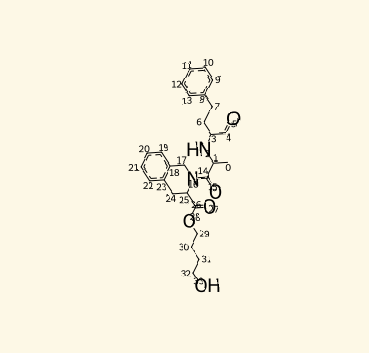 CC(NC(C=O)CCc1ccccc1)C(=O)N1Cc2ccccc2CC1C(=O)OCCCCO